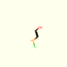 OC=CPCl